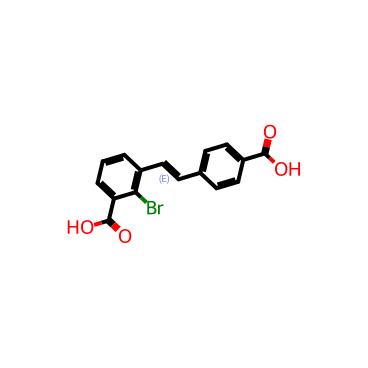 O=C(O)c1ccc(/C=C/c2cccc(C(=O)O)c2Br)cc1